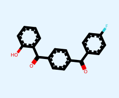 O=C(c1ccc(F)cc1)c1ccc(C(=O)c2ccccc2O)cc1